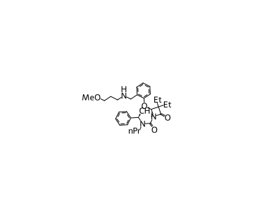 CCCN(C(=O)N1C(=O)C(CC)(CC)[C@@H]1Oc1ccccc1CNCCCOC)[C@H](C)c1ccccc1